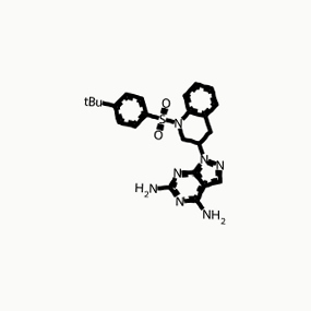 CC(C)(C)c1ccc(S(=O)(=O)N2CC(n3ncc4c(N)nc(N)nc43)Cc3ccccc32)cc1